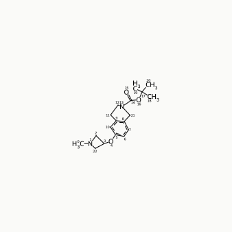 CN1CC(Oc2ccc3c(c2)CCN(C(=O)OC(C)(C)C)C3)C1